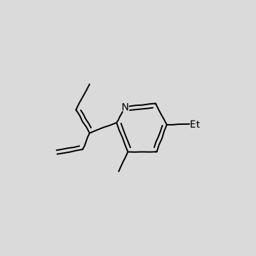 C=C/C(=C/C)c1ncc(CC)cc1C